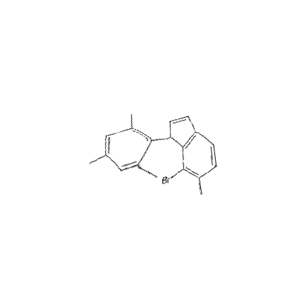 Cc1cc(C)c(C2C=Cc3ccc(C)c(Br)c32)c(C)c1